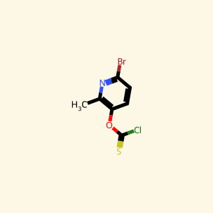 Cc1nc(Br)ccc1OC(=S)Cl